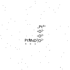 [Mo].[O-2].[O-2].[O-2].[O-2].[Pt+4].[Pt+4]